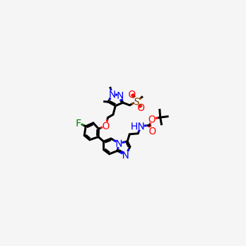 Cc1c(CCOc2cc(F)ccc2-c2ccc3ncc(CCNC(=O)OC(C)(C)C)n3c2)c(CS(C)(=O)=O)nn1C